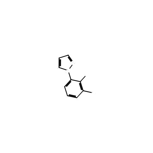 Fc1c(I)cccc1-n1cccn1